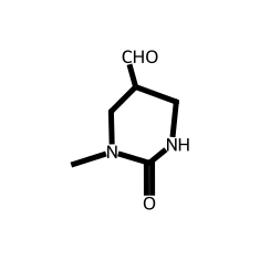 CN1CC(C=O)CNC1=O